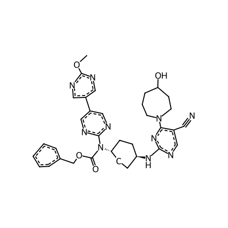 COc1ncc(-c2cnc(N(C(=O)OCc3ccccc3)[C@H]3CC[C@H](Nc4ncc(C#N)c(N5CCCC(O)CC5)n4)CC3)nc2)cn1